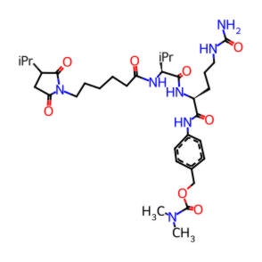 CC(C)C1CC(=O)N(CCCCCC(=O)N[C@H](C(=O)N[C@@H](CCCNC(N)=O)C(=O)Nc2ccc(COC(=O)N(C)C)cc2)C(C)C)C1=O